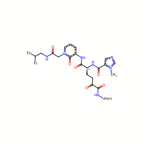 CCCCCNC(=O)C(=O)CC[C@H](NC(=O)c1cncn1C)C(=O)Nc1cccn(CC(=O)NCC(CC)CC)c1=O